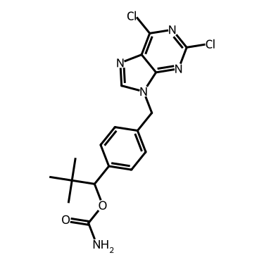 CC(C)(C)C(OC(N)=O)c1ccc(Cn2cnc3c(Cl)nc(Cl)nc32)cc1